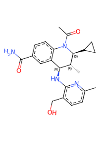 CC(=O)N1c2ccc(C(N)=O)cc2[C@H](Nc2nc(C)ccc2CO)[C@@H](C)[C@@H]1C1CC1